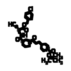 C#C[C@@H](CNC(=O)[C@@H]1CCCN(C(=O)CCC2CCN(C(=O)OC(C)(C)C)CC2)C1)C(=O)OCc1ccc(Cl)cc1